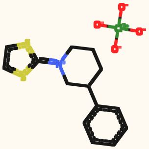 [O-][Cl+3]([O-])([O-])[O-].c1ccc(C2CCC[N+](=c3sccs3)C2)cc1